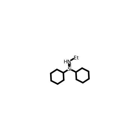 CCN[SiH](C1CCCCC1)C1CCCCC1